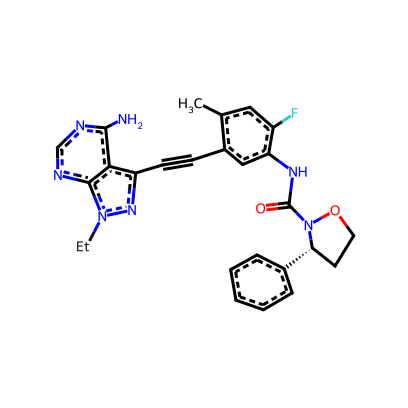 CCn1nc(C#Cc2cc(NC(=O)N3OCC[C@@H]3c3ccccc3)c(F)cc2C)c2c(N)ncnc21